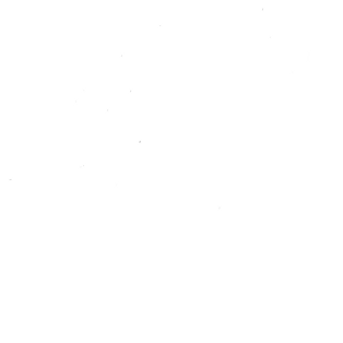 CCO[Si](CCC1CCC2OC2C1)(OCC)OCC.O=C(O)[SiH3]